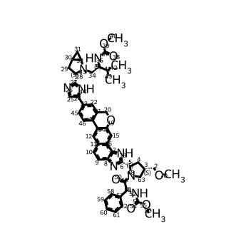 COC[C@H]1C[C@@H](c2nc3ccc4cc5c(cc4c3[nH]2)OCc2cc(-c3cnc([C@@H]4CC6CC6N4C[C@@H](NC(=O)OC)C(C)C)[nH]3)ccc2-5)N(C(=O)[C@H](NC(=O)OC)c2ccccc2)C1